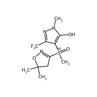 Cn1nc(C(F)(F)F)c([SH](C)(=O)C2=NOC(C)(C)C2)c1O